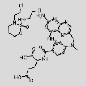 CN(Cc1cnc2nc(N)nc(N)c2n1)c1ccc(C(=O)NC(CCC(=O)O)C(=O)O)cc1.O=P1(NCCCl)OCCCN1CCCl